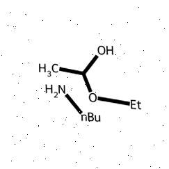 CCCCN.CCOC(C)O